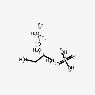 NCCN.O.O.O.O.O=S(=O)(O)O.[Fe]